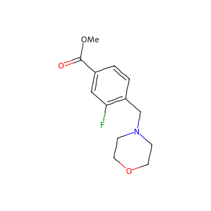 COC(=O)c1ccc(CN2CCOCC2)c(F)c1